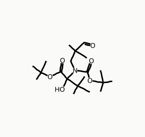 CC(C)(C=O)CN(C(=O)OC(C)(C)C)C(O)(C(=O)OC(C)(C)C)C(C)(C)C